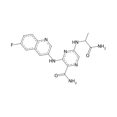 CC(Nc1cnc(C(N)=O)c(Nc2cnc3ccc(F)cc3c2)n1)C(N)=O